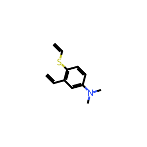 C=CSc1ccc(N(C)C)cc1C=C